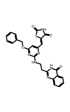 O=C1NC(=O)/C(=C/c2cc(OCc3ccccc3)nc(NCCc3nc4ccccc4c(=O)[nH]3)n2)S1